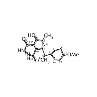 COc1ccc(C(C)c2nc(C)c(O)c3c(=O)[nH][nH]c(=O)c23)cc1